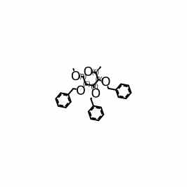 CO[C@@H]1O[C@@H](C)[C@@H](OCc2ccccc2)[C@@H](OCc2ccccc2)[C@@H]1OCc1ccccc1